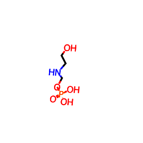 O=P(O)(O)OCNCCO